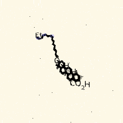 CC/C=C\C/C=C\C/C=C\CCCCCCCCO[C@H]1CC[C@@]2(C)C(CC[C@]3(C)[C@@H]2CC=C2[C@@H]4[C@@H](C)[C@H](C)CC[C@]4(C(=O)O)CC[C@]23C)C1(C)C